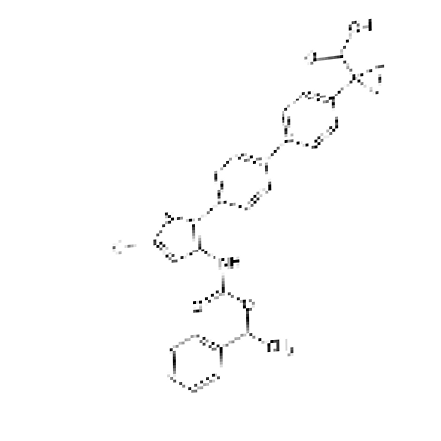 CC(OC(=O)Nc1cc(Cl)sc1-c1ccc(-c2ccc(C3(C(=O)O)CC3)cc2)cc1)c1ccccc1